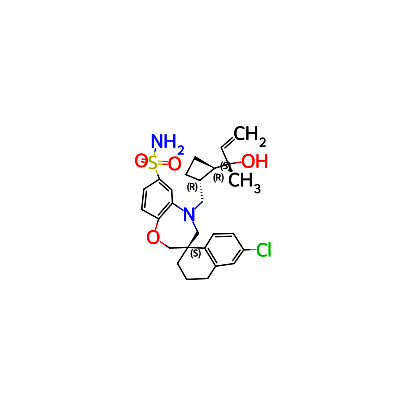 C=C[C@](C)(O)[C@@H]1CC[C@H]1CN1C[C@@]2(CCCc3cc(Cl)ccc32)COc2ccc(S(N)(=O)=O)cc21